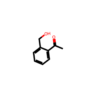 CC(=O)c1ccccc1CO